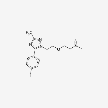 C[SiH](C)CCOCCn1nc(C(F)(F)F)nc1-c1ccc(I)cn1